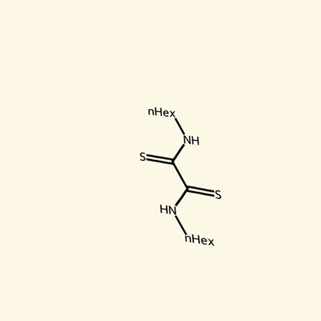 CCCCCCNC(=S)C(=S)NCCCCCC